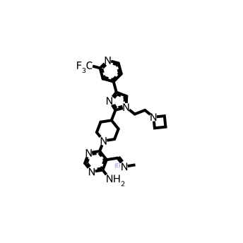 C/N=C/c1c(N)ncnc1N1CCC(c2nc(-c3ccnc(C(F)(F)F)c3)cn2CCN2CCC2)CC1